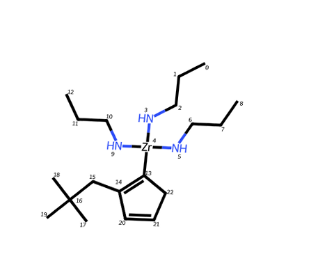 CCC[NH][Zr]([NH]CCC)([NH]CCC)[C]1=C(CC(C)(C)C)C=CC1